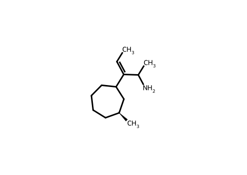 C/C=C(\C(C)N)C1CCCC[C@H](C)C1